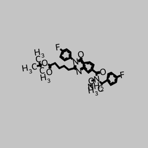 CC(c1ccc(F)cc1)N(ON)C(=O)c1ccc2c(=O)n(-c3ccc(F)cc3)c(CCCCC(=O)OC(C)(C)C)nc2c1